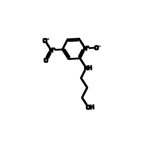 O=[N+]([O-])c1cc[n+]([O-])c(NCCCO)c1